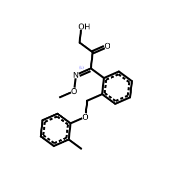 CO/N=C(/C(=O)CO)c1ccccc1COc1ccccc1C